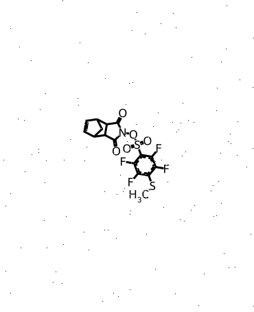 CSc1c(F)c(F)c(S(=O)(=O)ON2C(=O)C3C4C=CC(C4)C3C2=O)c(F)c1F